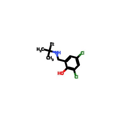 CCC(C)(C)NCc1cc(Cl)cc(Cl)c1O